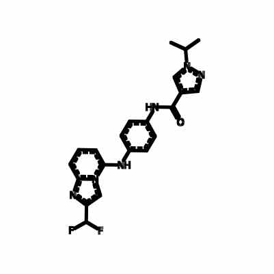 CC(C)n1cc(C(=O)Nc2ccc(Nc3cccc4nc(C(F)F)cn34)cc2)cn1